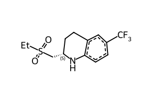 CCS(=O)(=O)C[C@@H]1CCc2cc(C(F)(F)F)ccc2N1